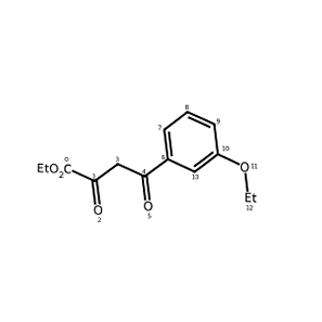 CCOC(=O)C(=O)CC(=O)c1cccc(OCC)c1